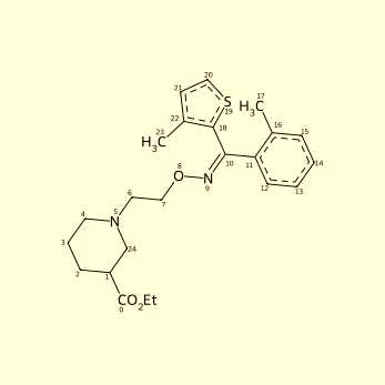 CCOC(=O)C1CCCN(CCON=C(c2ccccc2C)c2sccc2C)C1